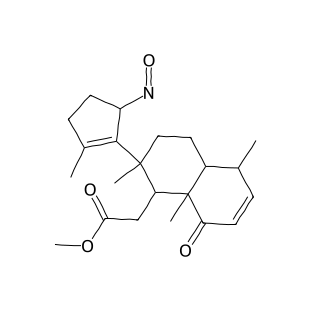 COC(=O)CC1C(C)(C2=C(C)CCC2N=O)CCC2C(C)C=CC(=O)C21C